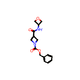 O=C(NC1COC1)C1CN(C(=O)OCc2ccccc2)C1